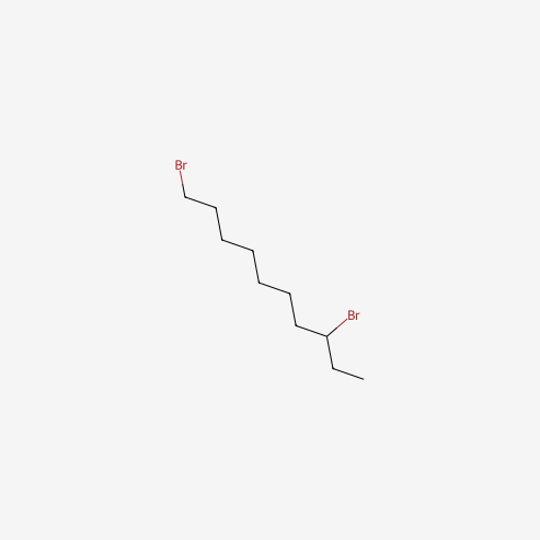 CCC(Br)CCCCCCCBr